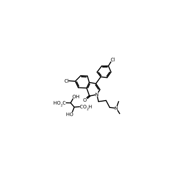 CN(C)CCCn1cc(-c2ccc(Cl)cc2)c2ccc(Cl)cc2c1=O.O=C(O)C(O)C(O)C(=O)O